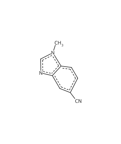 Cn1cnc2cc(C#N)ccc21